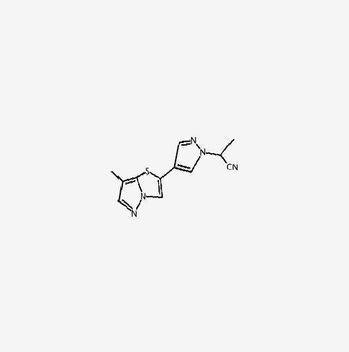 Cc1cnn2cc(-c3cnn(C(C)C#N)c3)sc12